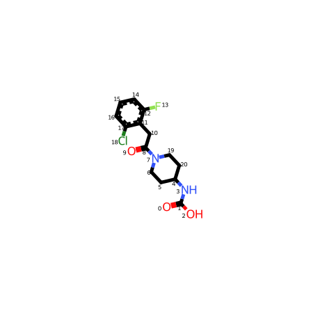 O=C(O)NC1CCN(C(=O)Cc2c(F)cccc2Cl)CC1